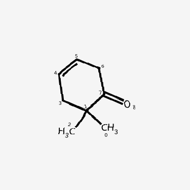 CC1(C)CC=CCC1=O